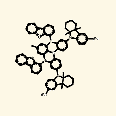 Cc1cc2c3c(c1)N(c1cccc4c1sc1ccccc14)c1cc(N4c5ccc(C(C)(C)C)cc5C5(C)CCCCC45C)ccc1B3c1ccc(N3c4ccc(C(C)(C)C)cc4C4(C)CCCCC34C)cc1N2c1cccc2c1oc1ccccc12